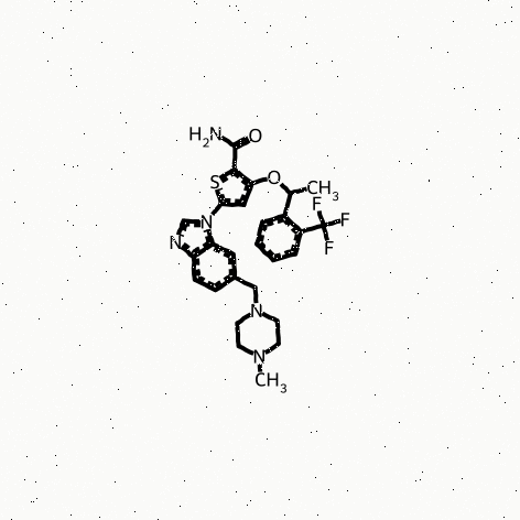 CC(Oc1cc(-n2cnc3ccc(CN4CCN(C)CC4)cc32)sc1C(N)=O)c1ccccc1C(F)(F)F